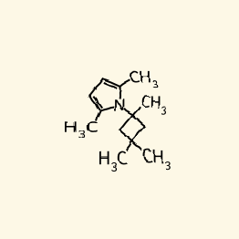 Cc1ccc(C)n1C1(C)CC(C)(C)C1